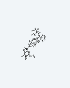 Nc1nc2c(ncn2[C@H]2C[C@@H]3O[P@@](=O)(O[C@@H]4CSSC[C@H]4OCc4ccccc4)OC[C@H]3O2)c(=S)[nH]1